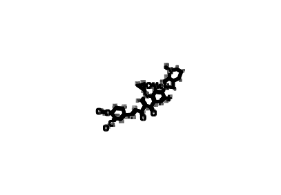 COc1c(N2CC3CCCN(C)C3C2)c(F)cc2c(=O)c(C(=O)/C=C/c3ccc(=C=O)c(=C=O)c3)cn(C3CC3)c12